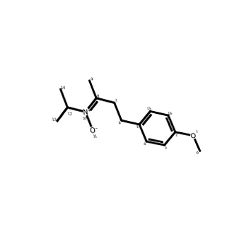 COc1ccc(CCC(C)=[N+]([O-])C(C)C)cc1